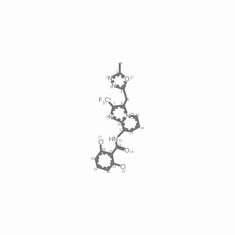 Cc1nnc(Cc2c(C(F)(F)F)nc3c(NC(=O)c4c(Cl)cccc4Cl)cccn23)o1